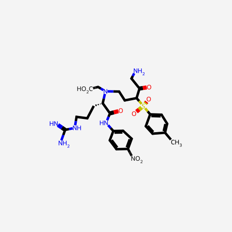 Cc1ccc(S(=O)(=O)C(CCN(CC(=O)O)[C@@H](CCCNC(=N)N)C(=O)Nc2ccc([N+](=O)[O-])cc2)C(=O)CN)cc1